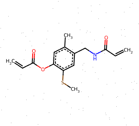 C=CC(=O)NCc1cc(SC)c(OC(=O)C=C)cc1C